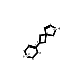 C1=CC2(CN1)CC(C1=CCNCC1)C2